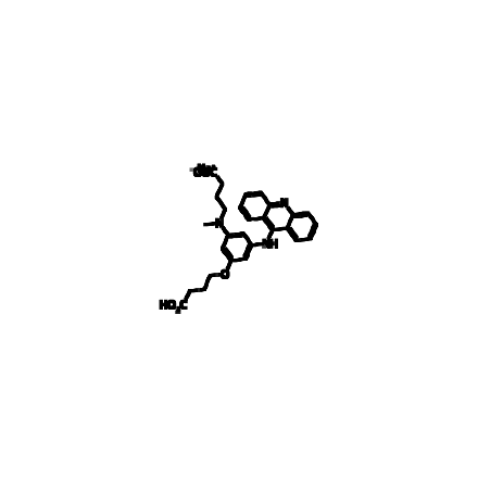 CN(CCCC(=O)[O-])c1cc(Nc2c3ccccc3nc3ccccc23)cc(OCCCC(=O)O)c1.[Na+]